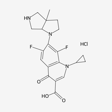 CC12CCN(c3c(F)cc4c(=O)c(C(=O)O)cn(C5CC5)c4c3F)C1CNC2.Cl